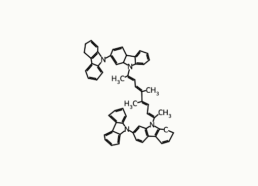 CC(=C\C=C(/C)N1c2ccccc2C2C=CC(n3c4c(c5ccccc53)CCC=C4)=CC21)/C(C)=C/C=C(\C)n1c2c(c3ccc(-n4c5ccccc5c5ccccc54)cc31)C=CCC2